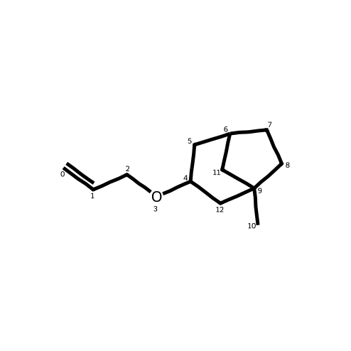 C=CCOC1CC2CCC(C)(C2)C1